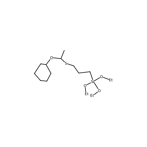 CCO[Si](CCCSC(C)OC1CCCCC1)(OCC)OCC